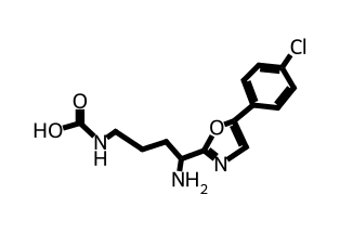 NC(CCCNC(=O)O)c1ncc(-c2ccc(Cl)cc2)o1